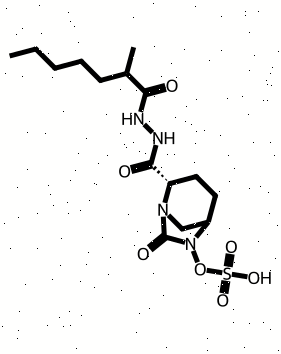 CCCCCC(C)C(=O)NNC(=O)[C@@H]1CCC2CN1C(=O)N2OS(=O)(=O)O